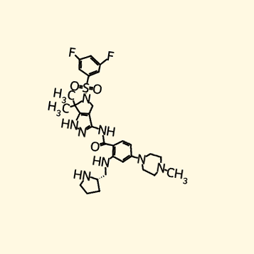 CN1CCN(c2ccc(C(=O)Nc3n[nH]c4c3CN(S(=O)(=O)c3cc(F)cc(F)c3)C4(C)C)c(NC[C@@H]3CCCN3)c2)CC1